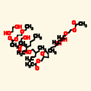 CC(=O)OCC1CCCO1.CCC(CC)CO.CCCCC(CC)CO.CCCO.CCO.CCOCCOC(C)=O.CO.COCCOC(C)=O.OCCO